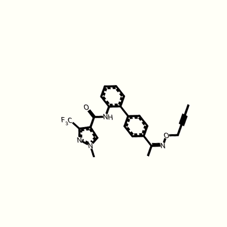 CC#CCO/N=C(/C)c1ccc(-c2ccccc2NC(=O)c2cn(C)nc2C(F)(F)F)cc1